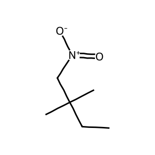 CCC(C)(C)C[N+](=O)[O-]